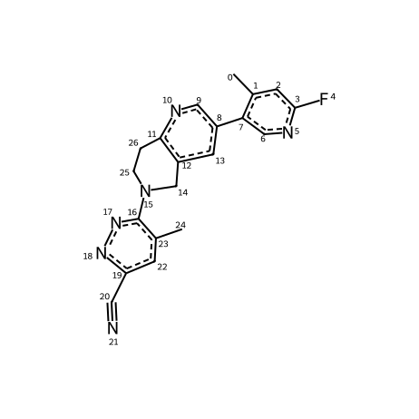 Cc1cc(F)ncc1-c1cnc2c(c1)CN(c1nnc(C#N)cc1C)CC2